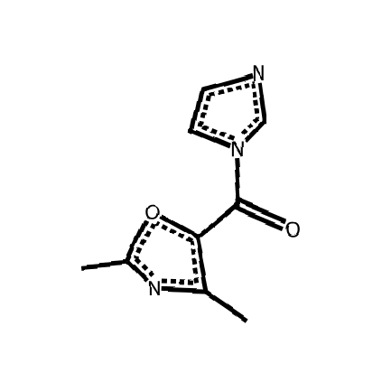 Cc1nc(C)c(C(=O)n2ccnc2)o1